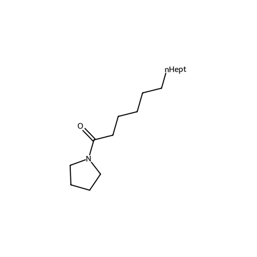 CCCCCCCCCCCCC(=O)N1CCCC1